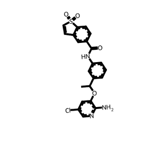 CC(Oc1cc(Cl)cnc1N)c1cccc(NC(=O)c2ccc3c(c2)C=CS3(=O)=O)c1